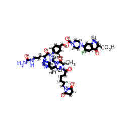 CCn1cc(C(=O)O)c(=O)c2cc(F)c(N3CCN(C(=O)OCc4ccc(NC(=O)[C@H](CCCNC(N)=O)n5cc([C@H](C(C)C)[C@@H](C)N(C[SiH3])C(=O)[C@H](C)NC(=O)CCCCCN6C(=O)CCC6=O)nn5)cc4)CC3)cc21